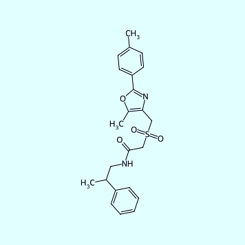 Cc1ccc(-c2nc(CS(=O)(=O)CC(=O)NCC(C)c3ccccc3)c(C)o2)cc1